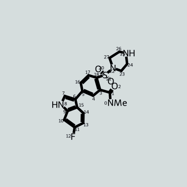 CNC(=O)c1cc(-c2c[nH]c3cc(F)ccc23)ccc1S(=O)(=O)N1CCNCC1